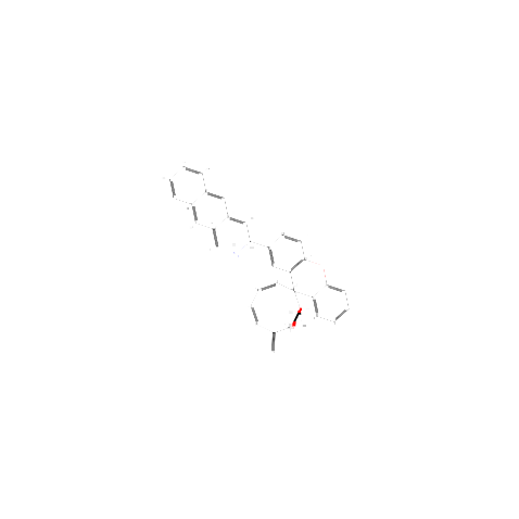 C=C1/C=C\C=CC2(c3ccccc3Oc3ccc(C(N)/C=c4/cc5ccccc5cc4=C)cc32)c2ccccc21